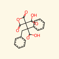 O=C(O)C1(C(Cc2ccccc2)(C(=O)O)c2ccccc2)C(=O)OC1=O